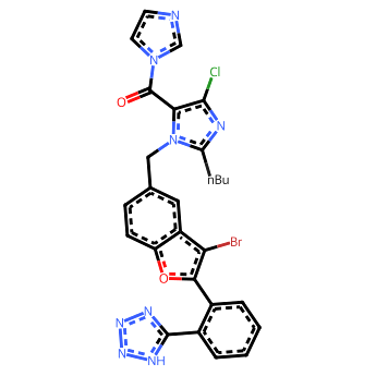 CCCCc1nc(Cl)c(C(=O)n2ccnc2)n1Cc1ccc2oc(-c3ccccc3-c3nnn[nH]3)c(Br)c2c1